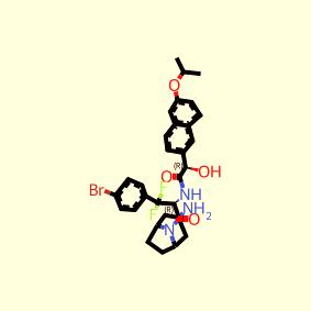 CC(C)Oc1ccc2cc([C@@H](O)C(=O)N[C@H](C(=O)N3C4CCC3CC(N)C4)C(F)(F)c3ccc(Br)cc3)ccc2c1